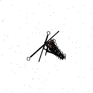 O=C1N2CN3C(=O)N4CN5C(=O)N6CN7C(=O)N8CN9C(=O)N%10CN%11C(=O)N%12CN1C1C2N2CN%13C(=O)N(CN%14C(=O)N(CN%15C(=O)N(C%16C8C%167%15)N7C(=O)N(CN8C(=O)N(CN1C2=O)C%12C%118)C%10C97)C6C5%14)C4C3%13